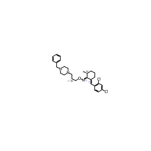 C[C@@H](CO/N=C1/C(=C/c2ccc(Cl)cc2Cl)CCC[C@@H]1C)CN1CCN(Cc2ccccc2)CC1